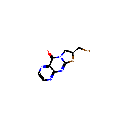 O=c1c2nccnc2nc2n1C[C@@H](CS)S2